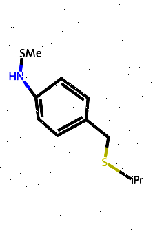 CSNc1ccc(CSC(C)C)cc1